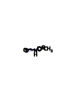 COc1ccc(NC/C=C/c2ccoc2)cc1